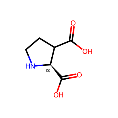 O=C(O)C1CCN[C@@H]1C(=O)O